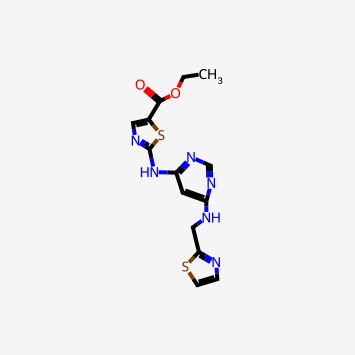 CCOC(=O)c1cnc(Nc2cc(NCc3nccs3)ncn2)s1